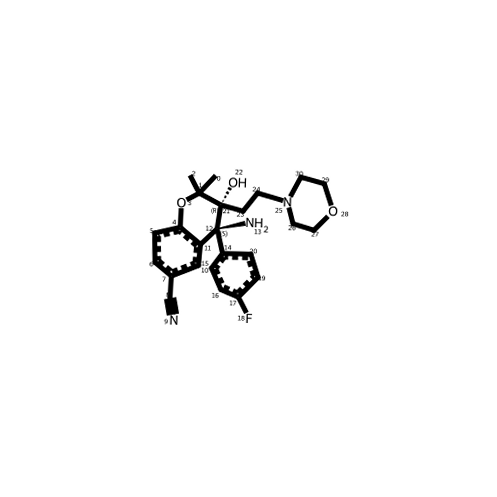 CC1(C)Oc2ccc(C#N)cc2[C@@](N)(c2ccc(F)cc2)[C@]1(O)CCN1CCOCC1